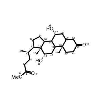 COC(=O)CC[C@@H](C)[C@H]1CCC2C3C(C[C@H](O)[C@@]21C)[C@@]1(C)CCC(=O)CC1C[C@H]3O